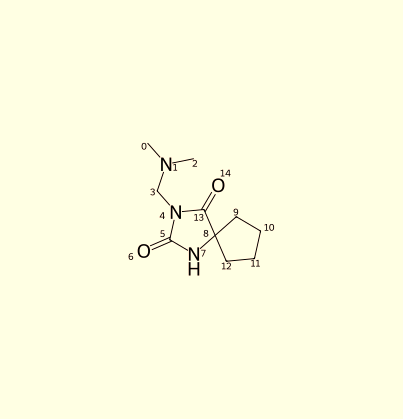 CN(C)CN1C(=O)NC2(CCCC2)C1=O